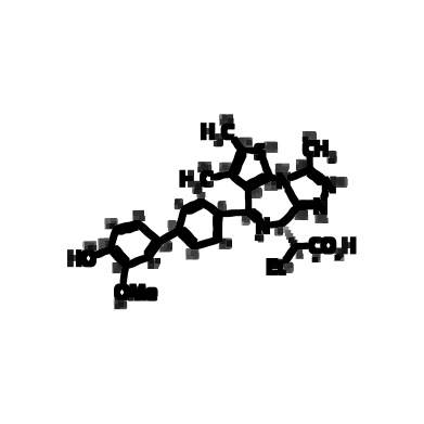 CCC(C(=O)O)[C@@H]1N=C(c2ccc(-c3ccc(O)c(OC)c3)cc2)c2c(sc(C)c2C)-n2c(C)nnc21